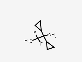 CC(F)(F)C(N)(C1CC1)C1CC1